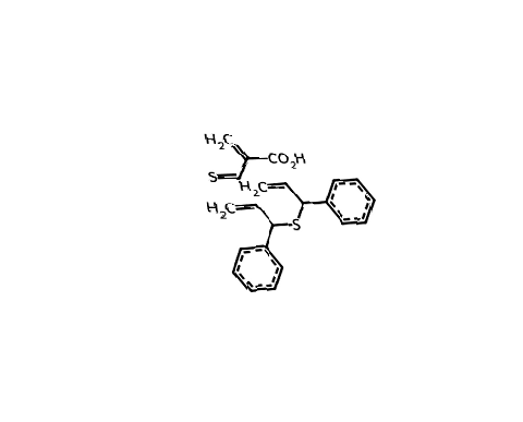 C=C(C=S)C(=O)O.C=CC(SC(C=C)c1ccccc1)c1ccccc1